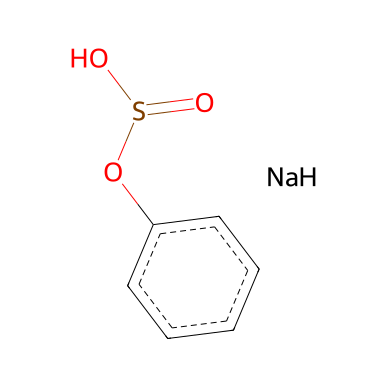 O=S(O)Oc1ccccc1.[NaH]